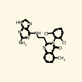 Cc1cccc2nc(CCNc3nc(N)nc4[nH]cnc34)n(-c3c(Cl)cccc3Cl)c(=O)c12